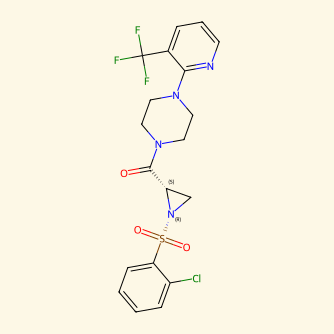 O=C([C@@H]1C[N@]1S(=O)(=O)c1ccccc1Cl)N1CCN(c2ncccc2C(F)(F)F)CC1